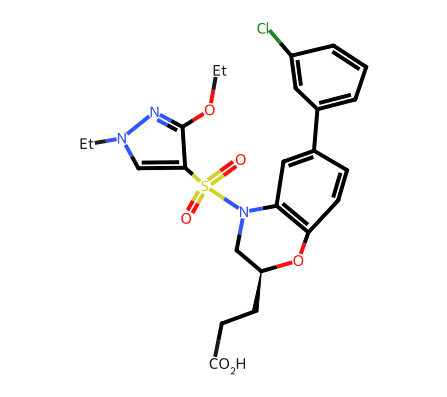 CCOc1nn(CC)cc1S(=O)(=O)N1C[C@H](CCC(=O)O)Oc2ccc(-c3cccc(Cl)c3)cc21